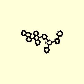 c1ccc(-c2cc(-c3cccc(-c4cccnc4)c3)nc(-c3cccc(-c4c5ccccc5c(-c5cccc6c5ccc5ccccc56)c5ccccc45)c3)n2)cc1